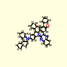 c1ccc2c(c1)ccc1c2c2ccccc2n1-c1ccc2c(c1)c1c3ccccc3ccc1n2-c1nc2ccccc2nc1-c1ccc2c(c1)oc1ccccc12